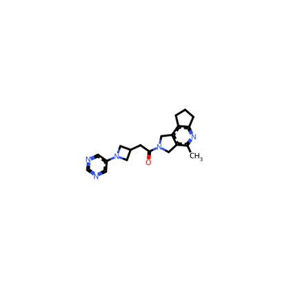 Cc1nc2c(c3c1CN(C(=O)CC1CN(c4cncnc4)C1)C3)CCC2